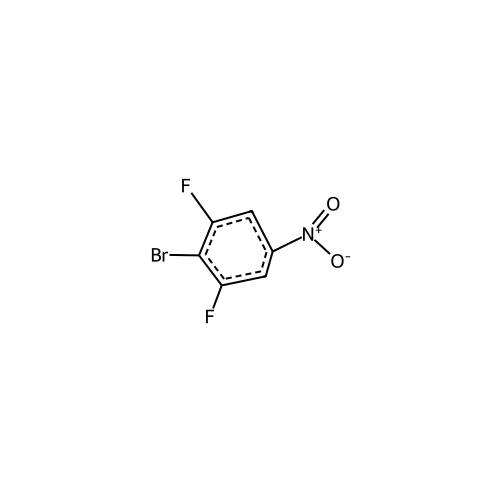 O=[N+]([O-])c1cc(F)c(Br)c(F)c1